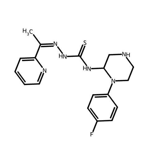 CC(=NNC(=S)NC1CNCCN1c1ccc(F)cc1)c1ccccn1